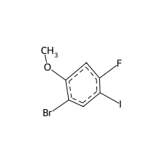 COc1cc(F)c(I)cc1Br